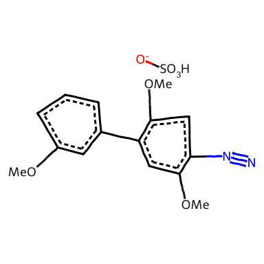 COc1cccc(-c2cc(OC)c([N+]#N)cc2OC)c1.O=S(=O)([O-])O